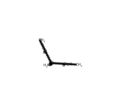 CCCCCCOCCOCCOC(=O)CCCCCCCCCCOc1ccc(N)cc1OCCCCCCCCCCC(=O)OCCOCCOCCCCCC